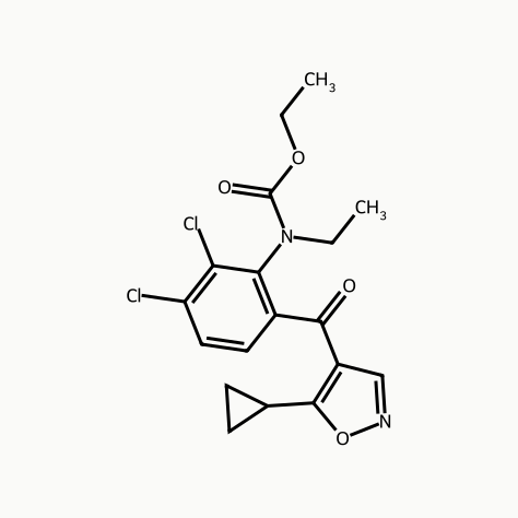 CCOC(=O)N(CC)c1c(C(=O)c2cnoc2C2CC2)ccc(Cl)c1Cl